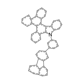 c1cc(-c2ccc3c(c2)-c2cccc4cccc-3c24)cc(-n2c3ccccc3c3c4c5ccccc5c5ccccc5c4c4ccccc4c32)c1